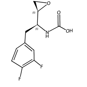 O=C(O)N[C@@H](Cc1ccc(F)c(F)c1)[C@H]1CO1